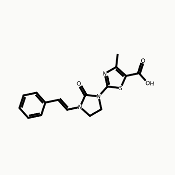 Cc1nc(N2CCN(C=Cc3ccccc3)C2=O)sc1C(=O)O